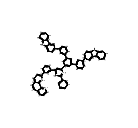 c1ccc(-c2nc(-c3cc(-c4cccc(-c5ccc6sc7ccccc7c6c5)c4)cc(-c4cccc(-c5ccc6sc7ccccc7c6c5)c4)c3)cc(-c3cccc(-c4ccc5ccc6cccnc6c5n4)c3)n2)cc1